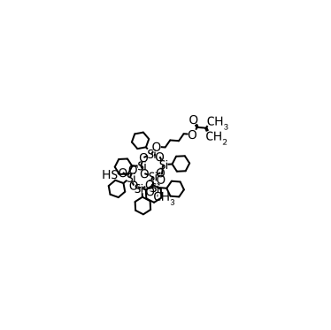 C=C(C)C(=O)OCCCCO[Si]1(C2CCCCC2)O[Si]2(C3CCCCC3)O[Si](OS)(C3CCCCC3)O[Si]3(C4CCCCC4)O[Si](C4CCCCC4)(O2)O[Si](C2CCCCC2)(O1)O[Si@@](C)(C1CCCCC1)O3